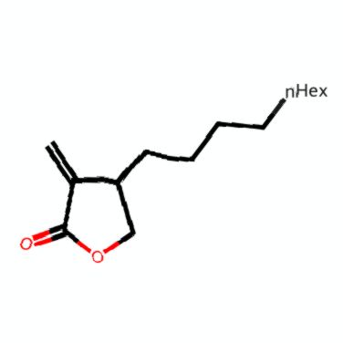 C=C1C(=O)OCC1CCCCCCCCCC